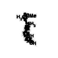 COC(=O)CN(C)CCCN(C)c1ccc(-c2ccnc(Nc3cccc(CO)c3)n2)cn1